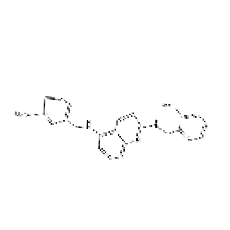 COc1cccc(CNc2cccc3nc(NCc4ccccc4OC)ccc23)c1